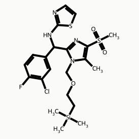 Cc1c(S(C)(=O)=O)nc(C(Nc2nccs2)c2ccc(F)c(Cl)c2)n1COCC[Si](C)(C)C